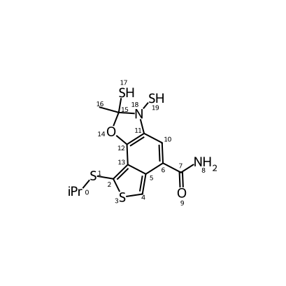 CC(C)Sc1scc2c(C(N)=O)cc3c(c12)OC(C)(S)N3S